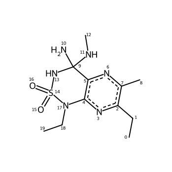 CCc1nc2c(nc1C)C(N)(NC)NS(=O)(=O)N2CC